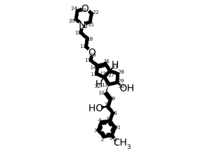 Cc1cccc(C[C@@H](O)/C=C/[C@@H]2[C@H]3CC(COCCCN4CCOCC4)=C[C@H]3C[C@H]2O)c1